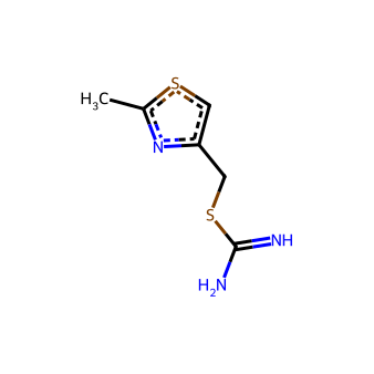 Cc1nc(CSC(=N)N)cs1